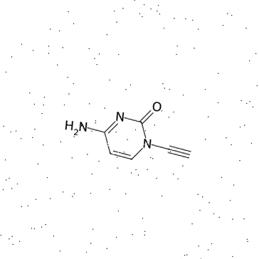 C#Cn1ccc(N)nc1=O